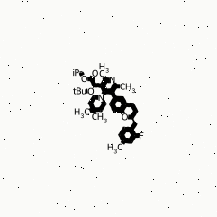 Cc1ccc(C[C@@H]2CCc3cc(-c4c(C)nc(C)c([C@H](OC(C)(C)C)C(=O)OC(C)C)c4N4CCC(C)(C)CC4)ccc3O2)c(F)c1